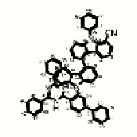 N#Cc1cccc2c3c(-c4cccc5c4c4ccccc4n5-c4cc(-c5ccccc5)ccc4C4N=C(c5ccccc5)N=C(c5ccccc5)N4)cccc3n(-c3ccccc3)c12